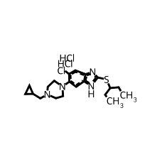 CCC(CC)Sc1nc2cc(Cl)c(N3CCN(CC4CC4)CC3)cc2[nH]1.Cl.Cl